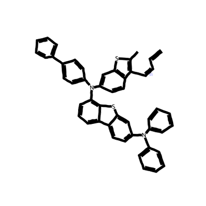 C=C/C=C\c1c(C)sc2cc(N(c3ccc(-c4ccccc4)cc3)c3cccc4c3sc3cc(N(c5ccccc5)c5ccccc5)ccc34)ccc12